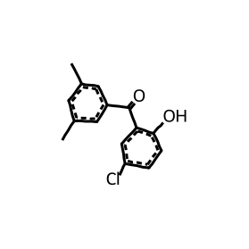 Cc1cc(C)cc(C(=O)c2cc(Cl)ccc2O)c1